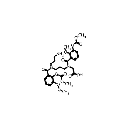 COOc1cccc(C(=O)N(CCCN)CCCN(CC(=O)O)C(=O)c2cccc(OC(=O)OC)c2OC)c1OC(=O)OC